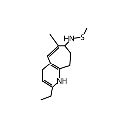 CCC1=CCC2=C(CCC(NSC)C(C)=C2)N1